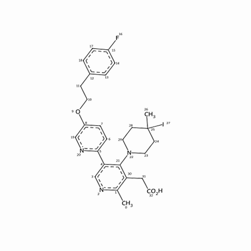 Cc1ncc(-c2ccc(OCCc3ccc(F)cc3)cn2)c(N2CCC(C)(I)CC2)c1CC(=O)O